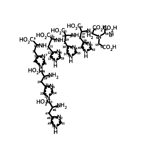 NC(Cc1c[nH]cn1)C(=O)O.NC(Cc1c[nH]cn1)C(=O)O.NC(Cc1c[nH]cn1)C(=O)O.NC(Cc1c[nH]cn1)C(=O)O.NC(Cc1c[nH]cn1)C(=O)O.NC(Cc1c[nH]cn1)C(=O)O.O=C(O)CN(CC(=O)O)CC(=O)O.[Ni]